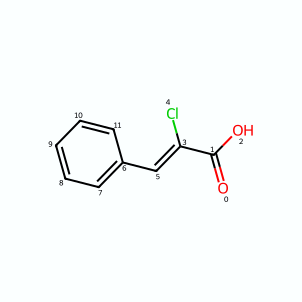 O=C(O)/C(Cl)=C/c1ccccc1